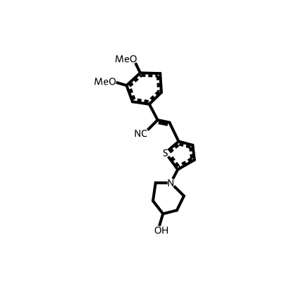 COc1ccc(C(C#N)=Cc2ccc(N3CCC(O)CC3)s2)cc1OC